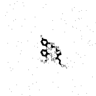 CCCC(=O)c1csc(NC(=O)Nc2cc(F)ccc2Oc2cccc(OC)c2OC)n1